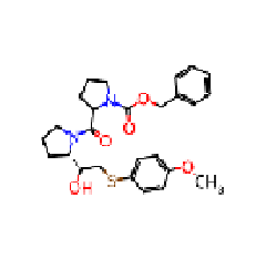 COc1ccc(SCC(O)[C@@H]2CCCN2C(=O)[C@H]2CCCN2C(=O)OCc2ccccc2)cc1